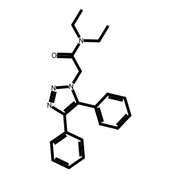 CCN(CC)C(=O)Cn1nnc(-c2ccccc2)c1-c1ccccc1